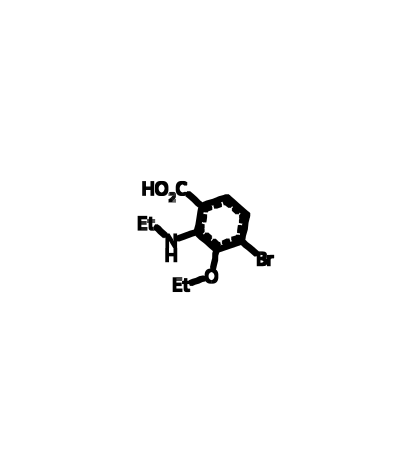 CCNc1c(C(=O)O)ccc(Br)c1OCC